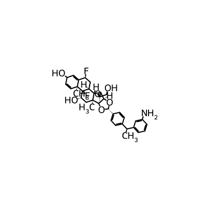 C[C@@H](c1ccc([C@H]2O[C@@H]3C[C@H]4[C@@H]5C[C@H](F)C6=CC(O)C=C[C@]6(C)[C@@]5(F)[C@@H](O)C[C@]4(C)[C@]3(C(=O)CO)O2)cc1)c1cccc(N)c1